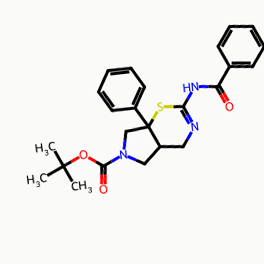 CC(C)(C)OC(=O)N1CC2CN=C(NC(=O)c3ccccc3)SC2(c2ccccc2)C1